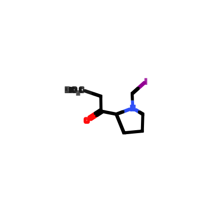 CCOC(=O)CC(=O)C1CCCN1CI